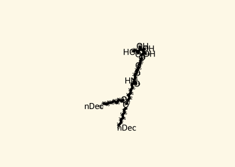 CCCCCCCCCCCCCCCCCCOC[C@@H](CCCCCCC(=O)NCCOCCOCCO[C@H]1OC(CO)C(O)C(O)C1O)OCCCCCCCCCCCCCCCCCC